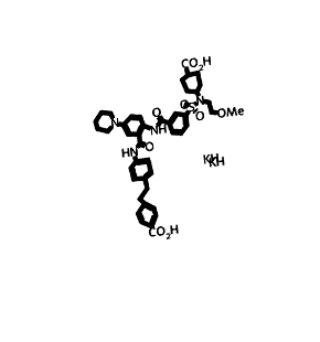 COCCN(C1CCC(C(=O)O)CC1)S(=O)(=O)c1cccc(C(=O)Nc2ccc(N3CCCCC3)cc2C(=O)Nc2ccc(CCc3ccc(C(=O)O)cc3)cc2)c1.[KH].[KH]